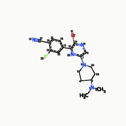 CN(C)C1CCN(c2cnc(Br)c(-c3ccc(C#N)c(F)c3)n2)CC1